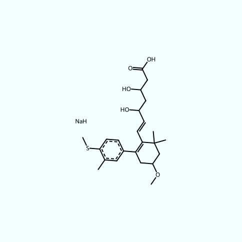 COC1CC(c2ccc(SC)c(C)c2)=C(C=CC(O)CC(O)CC(=O)O)C(C)(C)C1.[NaH]